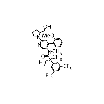 COc1ccccc1-c1cc(N2CCCC2CO)ncc1N(C)C(=O)C(C)(C)c1cc(C(F)(F)F)cc(C(F)(F)F)c1